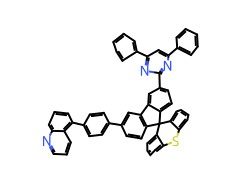 c1ccc(-c2cc(-c3ccccc3)nc(-c3ccc4c(c3)-c3cc(-c5ccc(-c6cccc7ncccc67)cc5)ccc3C43c4ccccc4Sc4ccccc43)n2)cc1